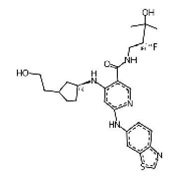 CC(C)(O)[C@H](F)CNC(=O)c1cnc(Nc2ccc3ncsc3c2)cc1N[C@H]1CCC(CCO)C1